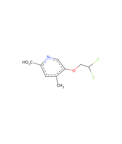 Cc1cc(C(=O)O)ncc1OCC(F)F